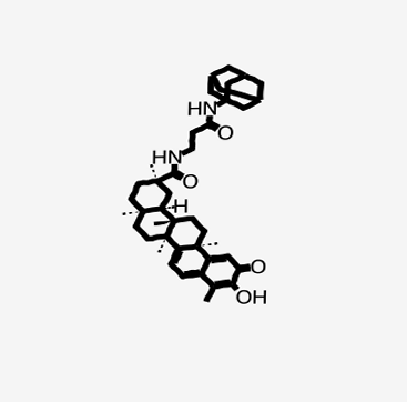 CC1=C(O)C(=O)C=C2C1=CC=C1[C@@]2(C)CC[C@@]2(C)[C@@H]3C[C@](C)(C(=O)NCCC(=O)NC45CC6CC(CC(C6)C4)C5)CC[C@]3(C)CC[C@]12C